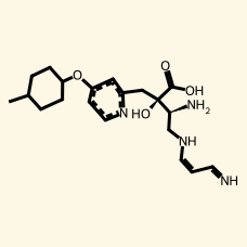 CC1CCC(Oc2ccnc(C[C@](O)(C(=O)O)[C@@H](N)CN/C=C\C=N)c2)CC1